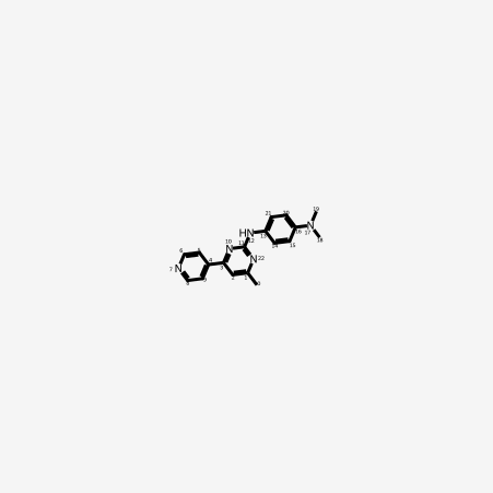 Cc1cc(-c2ccncc2)nc(Nc2ccc(N(C)C)cc2)n1